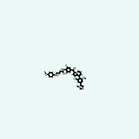 COc1cc(-c2cncn2C)cc(Cl)c1-c1cccn2c(C(=O)c3cc(F)c(NC(=O)/C=C/CNC4CCC(OC)CC4)c(F)c3)ccc12